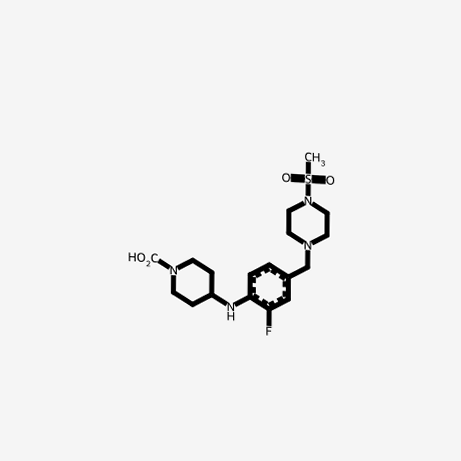 CS(=O)(=O)N1CCN(Cc2ccc(NC3CCN(C(=O)O)CC3)c(F)c2)CC1